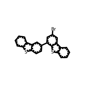 Brc1cc(-c2ccc3sc4ccccc4c3c2)c2sc3ccccc3c2c1